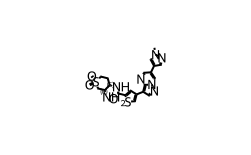 Cn1cc(-c2cnc3c(-c4csc(C(=O)N[C@H]5CCS(=O)(=O)C[C@@H]5N)c4)cnn3c2)cn1